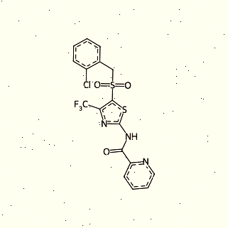 O=C(Nc1nc(C(F)(F)F)c(S(=O)(=O)Cc2ccccc2Cl)s1)c1ccccn1